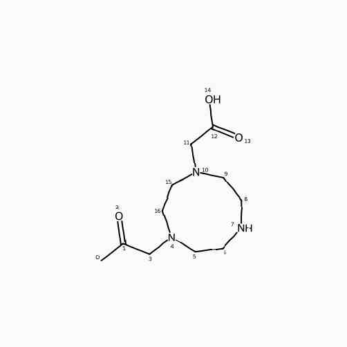 CC(=O)CN1CCNCCN(CC(=O)O)CC1